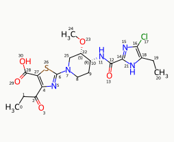 CCC(=O)c1nc(N2CC[C@@H](NC(=O)c3nc(Cl)c(CC)[nH]3)[C@@H](OC)C2)sc1C(=O)O